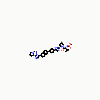 COC(=O)N[C@H](C(=O)N1C[C@@H](C)C[C@H]1c1ncc(-c2ccc(-c3ccc4cc(-c5cnc([C@@H]6C[C@H](C)CN6C)[nH]5)ccc4c3)cc2)[nH]1)C(C)C